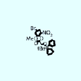 COC(=O)[C@H](CO[Si](c1ccccc1)(c1ccccc1)C(C)(C)C)Oc1ccc(Br)cc1[N+](=O)[O-]